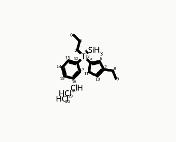 CC[CH2][Ti]([SiH3])([C]1=CC(CC)=CC1)[c]1ccccc1.Cl.Cl.Cl